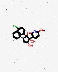 COc1ccc2c(n1)O[C@@]1(c3ccc(Br)cc3)[C@H](c3ccccc3)C[C@@H](O)[C@@]21O